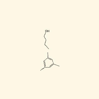 CCCCO.Cc1cc(C)cc(C)c1